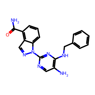 NC(=O)c1cccc2c1cnn2-c1ncc(N)c(NCc2ccccc2)n1